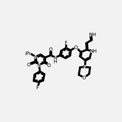 CC(C)n1cc(C(=O)Nc2ccc(OC3=CC(N4CCOCC4)=CN/C3=C\C=N)c(F)c2)c(=O)n(-c2ccc(F)cc2)c1=O